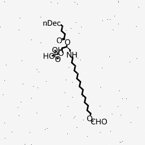 CCCCCCCCCCCCCC(=O)O[C@@H](CNCCCCCCCCCCCCCCCOC=O)COP(=O)(O)O